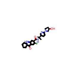 CC(C)(NC(=O)c1cc2[nH]c3ccccc3c(=O)c2cc1F)c1ccc(N2CCC(O)C2)nc1